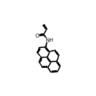 C=CC(=O)Nc1ccc2ccc3cccc4ccc1c2c34